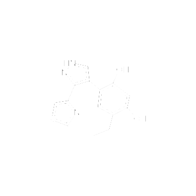 CCc1cc(-c2c[nH]nc2-c2cscn2)c(O)cc1O